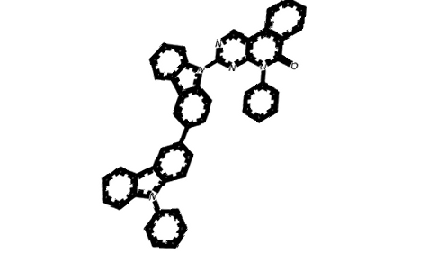 O=c1c2ccccc2c2cnc(-n3c4ccccc4c4cc(-c5ccc6c(c5)c5ccccc5n6-c5ccccc5)ccc43)nc2n1-c1ccccc1